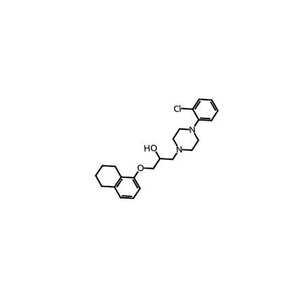 OC(COc1cccc2c1CCCC2)CN1CCN(c2ccccc2Cl)CC1